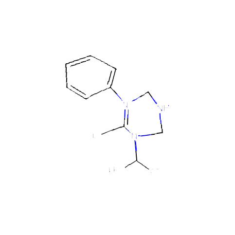 CCC1=[N+](c2ccccc2)CNCN1C(C)C(F)(F)F